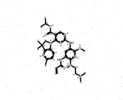 C=CC(=O)Nc1cc(Nc2ncc(C(=O)OC(C)C)c(N3CC(C)(C)c4nc(C)ccc43)n2)c(OC)nc1N(C)CCN(C)C